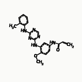 C=CC(=O)Nc1ccc(OC)c(Nc2ncnc(Nc3ccccc3C)n2)c1